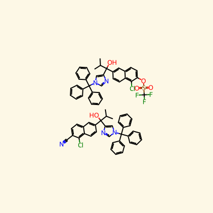 CC(C)C(O)(c1ccc2c(Cl)c(C#N)ccc2c1)c1cn(C(c2ccccc2)(c2ccccc2)c2ccccc2)cn1.CC(C)C(O)(c1ccc2c(Cl)c(OS(=O)(=O)C(F)(F)F)ccc2c1)c1cn(C(c2ccccc2)(c2ccccc2)c2ccccc2)cn1